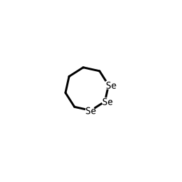 C1CC[Se][Se][Se]CC1